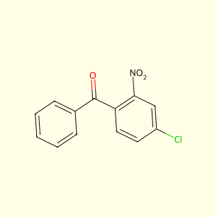 O=C(c1ccccc1)c1ccc(Cl)cc1[N+](=O)[O-]